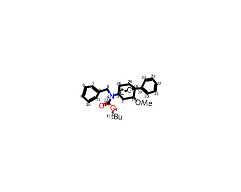 COC1CC2(N(Cc3ccccc3)C(=O)OC(C)(C)C)CCC1(c1ccccc1)CC2